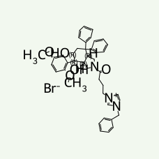 COc1ccc(OC)c([C@@]2(O)[C@H](O)CC(c3ccccc3)(c3ccccc3)[C@@H]3CN(C(=O)CCC[n+]4ccn(Cc5ccccc5)c4)C[C@@H]32)c1.[Br-]